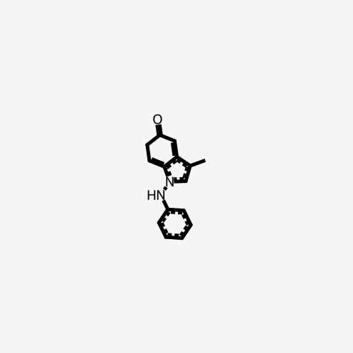 Cc1cn(Nc2ccccc2)c2c1=CC(=O)CC=2